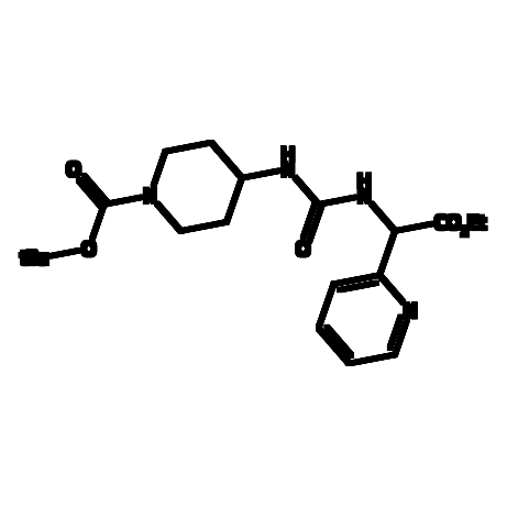 CCOC(=O)C(NC(=O)NC1CCN(C(=O)OC(C)(C)C)CC1)c1ccccn1